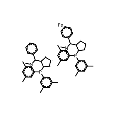 Cc1cc(C)cc(P([C]2[CH][CH][CH][C]2C(c2ccccc2)N(C)C)c2cc(C)cc(C)c2)c1.Cc1cc(C)cc(P([C]2[CH][CH][CH][C]2C(c2ccccc2)N(C)C)c2cc(C)cc(C)c2)c1.[Fe]